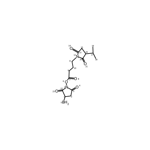 BC1CC(=O)N(OC(=O)CCCN2C(=O)CC(C(C)C)C2=O)C1=O